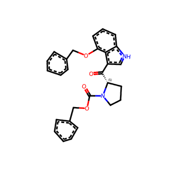 O=C(c1c[nH]c2cccc(OCc3ccccc3)c12)[C@@H]1CCCN1C(=O)OCc1ccccc1